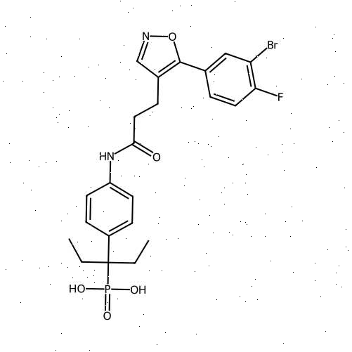 CCC(CC)(c1ccc(NC(=O)CCc2cnoc2-c2ccc(F)c(Br)c2)cc1)P(=O)(O)O